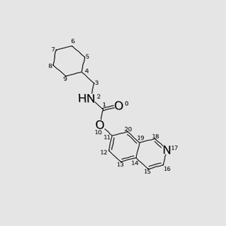 O=C(NCC1CCCCC1)Oc1ccc2ccncc2c1